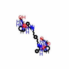 COCCN[C@@H](C)C(=O)N[C@H]1CCCC[C@H]2CC[C@@H](C(=O)N[C@@H](c3ccccc3)c3cn(CCCCc4ccc(CCCCn5cc([C@@H](NC(=O)[C@@H]6CC[C@@H]7CCCC[C@H](NC(=O)[C@H](C)NCCO)C(=O)N76)c6ccccc6)nn5)cc4)nn3)N2C1=O